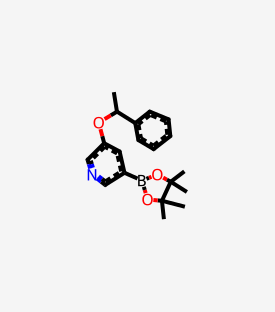 CC(Oc1cncc(B2OC(C)(C)C(C)(C)O2)c1)c1ccccc1